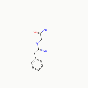 [NH]C(=O)CNC(=N)Cc1ccccc1